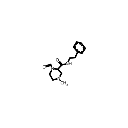 CN1CCN([C]=O)C(C(=O)NCCc2ccccc2)C1